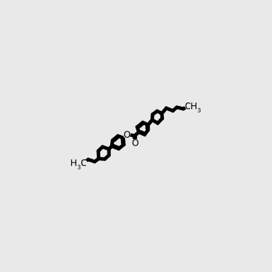 CCCCCC1CCC(c2ccc(C(=O)Oc3ccc(C4CCC(CCC)CC4)cc3)cc2)CC1